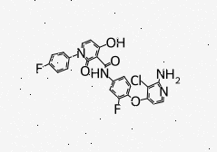 Nc1nccc(Oc2ccc(NC(=O)c3c(O)ccn(-c4ccc(F)cc4)c3=O)cc2F)c1Cl